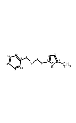 Cc1ccc(CCOCc2ccccc2)s1